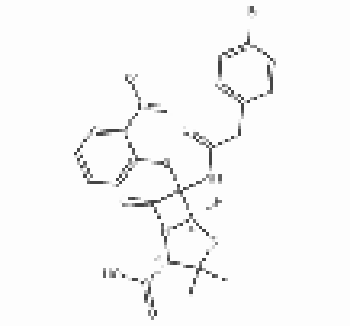 CC1(C)S[C@H]2N(C(=O)C2(NC(=O)Cc2ccc(Br)cc2)Sc2ccccc2[N+](=O)[O-])[C@H]1C(=O)O